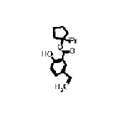 C=Cc1ccc(O)c(C(=O)OC2(C(C)C)CCCC2)c1